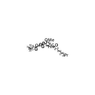 COc1cc(CNC(=O)CCCC/C=C/C(C)C)ccc1OC(=O)OCOC(=O)CC[N+](C)(C)C